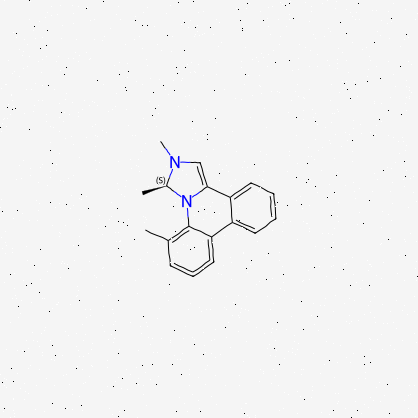 CC1=C2C(=C=C=C1)c1ccccc1C1=CN(C)[C@H](C)N12